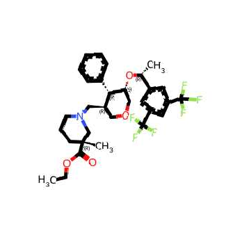 CCOC(=O)[C@]1(C)CCCN(C[C@@H]2COC[C@@H](O[C@H](C)c3cc(C(F)(F)F)cc(C(F)(F)F)c3)[C@H]2c2ccccc2)C1